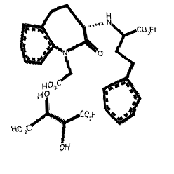 CCOC(=O)C(CCc1ccccc1)N[C@H]1CCc2ccccc2N(CC(=O)O)C1=O.O=C(O)C(O)C(O)C(=O)O